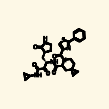 O=C(NC1CC1)C(=O)[C@H](C[C@@H]1CCNC1=O)NC(=O)[C@@H]1CC2(CCN1C(=O)c1csc(-c3ccccc3)n1)CC2